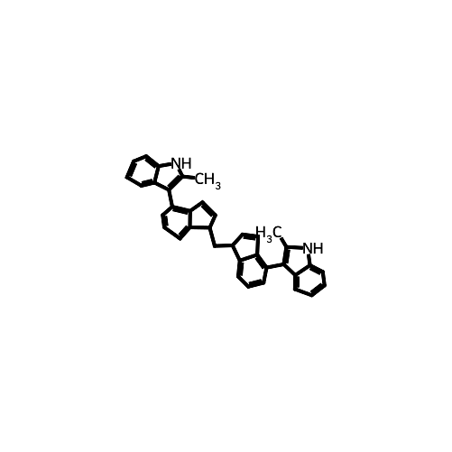 Cc1[nH]c2ccccc2c1-c1cccc2c1C=CC2CC1C=Cc2c(-c3c(C)[nH]c4ccccc34)cccc21